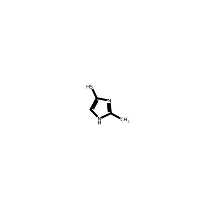 Cc1nc(S)c[nH]1